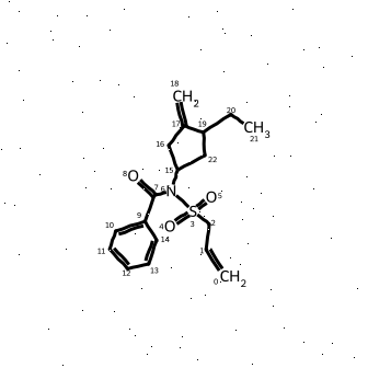 C=CCS(=O)(=O)N(C(=O)c1ccccc1)C1CC(=C)C(CC)C1